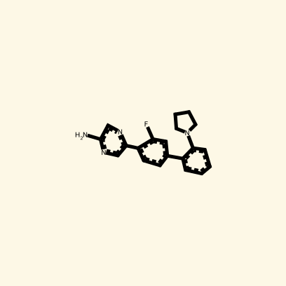 Nc1cnc(-c2ccc(-c3ccccc3N3CCCC3)cc2F)cn1